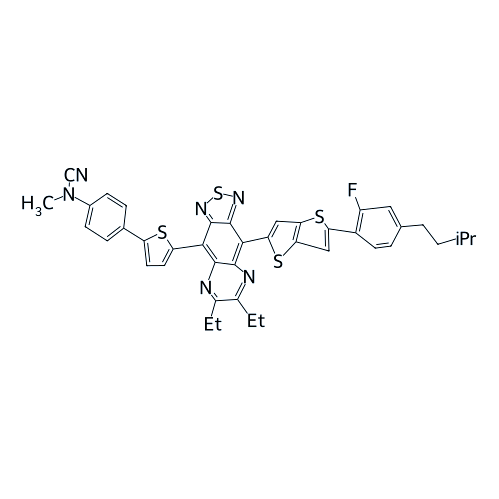 CCc1nc2c(-c3ccc(-c4ccc(N(C)C#N)cc4)s3)c3nsnc3c(-c3cc4sc(-c5ccc(CCC(C)C)cc5F)cc4s3)c2nc1CC